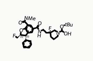 CNC(=O)c1cc(C(=O)NCC[C@]2(F)CCCN(C(O)OC(C)(C)C)C2)cc2c1O[C@H](CF)[C@H]2c1ccccc1